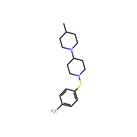 CC1CCN(C2CCN(Sc3ccc(C(F)(F)F)cc3)CC2)CC1